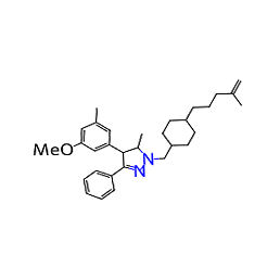 C=C(C)CCCC1CCC(CN2N=C(c3ccccc3)C(c3cc(C)cc(OC)c3)C2C)CC1